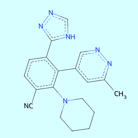 Cc1cc(-c2c(-c3nnc[nH]3)ccc(C#N)c2N2CCCCC2)cnn1